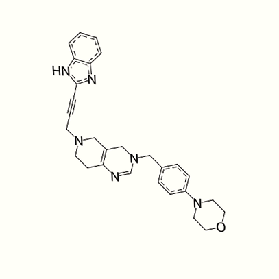 C(#Cc1nc2ccccc2[nH]1)CN1CCC2=C(CN(Cc3ccc(N4CCOCC4)cc3)C=N2)C1